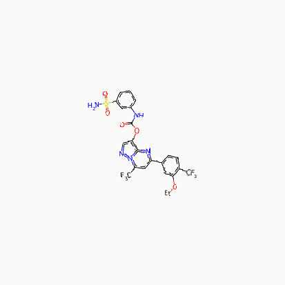 CCOc1cc(-c2cc(C(F)(F)F)n3ncc(OC(=O)Nc4cccc(S(N)(=O)=O)c4)c3n2)ccc1C(F)(F)F